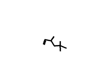 C=CC(C)CC(C)(C)C